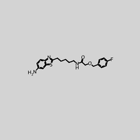 Nc1ccc2nc(CCCCCNC(=O)COCc3ccc(F)cc3)sc2c1